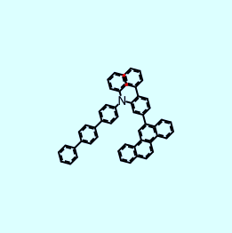 c1ccc(-c2ccc(-c3ccc(N(c4ccccc4)c4cc(-c5cc6c7ccccc7ccc6c6ccccc56)ccc4-c4ccccc4)cc3)cc2)cc1